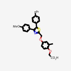 CCCc1ccc(-c2sc(COc3ccc(OCC(=O)O)c(C)c3)nc2-c2ccc(OC)cc2)cc1